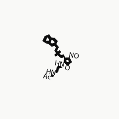 CC(=O)CNCCCN[C@H]1C(=O)C[C@@H](N=O)[C@@H]1/C=C/C(C)(C)CCc1ccc2ccccc2c1